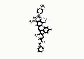 COc1cc(/C=C2/C(C)=C(CC(=O)NCc3cccnc3)c3cc(F)ccc32)cc(OC)c1/[SH]=C(\O)N1CCN(C)CC1